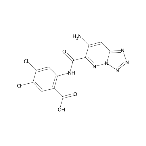 Nc1cc2nnnn2nc1C(=O)Nc1cc(Cl)c(Cl)cc1C(=O)O